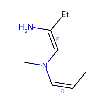 C/C=C\N(C)/C=C(\N)CC